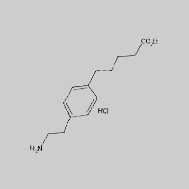 CCOC(=O)CCCCc1ccc(CCN)cc1.Cl